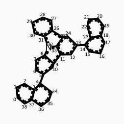 c1ccc2c(-c3ccc4c(c3)c3cc(-c5cccc6ccccc56)cc5c6ccccc6n4c53)cccc2c1